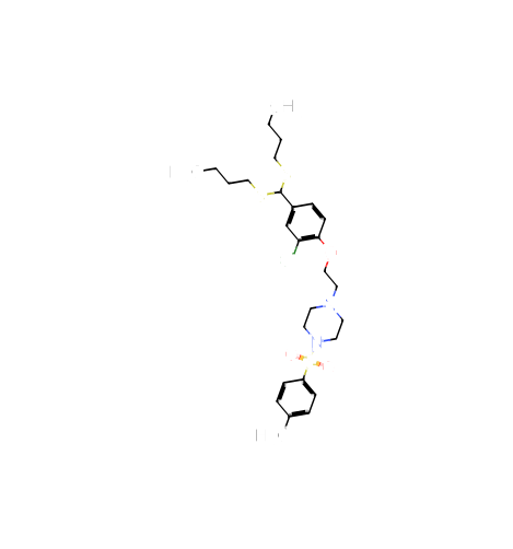 CCCCSC(SCCCC)c1ccc(OCCN2CCN(S(=O)(=O)c3ccc(C)cc3)CC2)c(Cl)c1